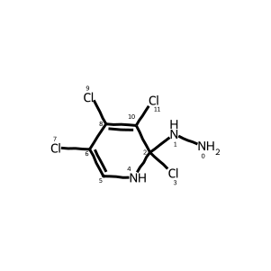 NNC1(Cl)NC=C(Cl)C(Cl)=C1Cl